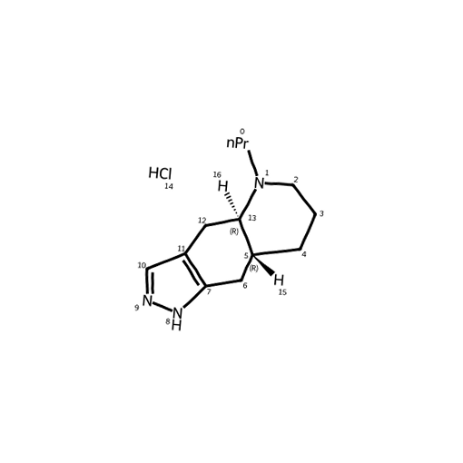 CCCN1CCC[C@@H]2Cc3[nH]ncc3C[C@H]21.Cl